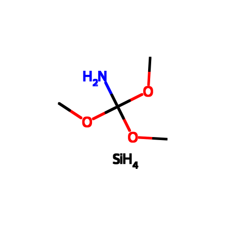 COC(N)(OC)OC.[SiH4]